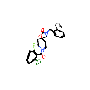 N#Cc1ccccc1CN1CC2(CCN(C(=O)c3c(F)cccc3Cl)CC2)OC1=O